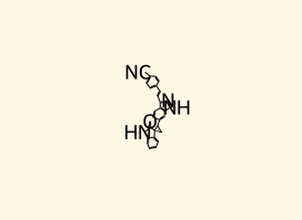 N#Cc1ccc(/C=C/c2n[nH]c3cc(C4C[C@@]45C(=O)Nc4ccccc45)ccc23)cc1